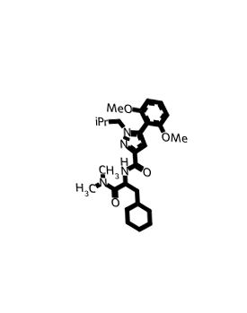 COc1cccc(OC)c1-c1cc(C(=O)NC(CC2CCCCC2)C(=O)N(C)C)nn1CC(C)C